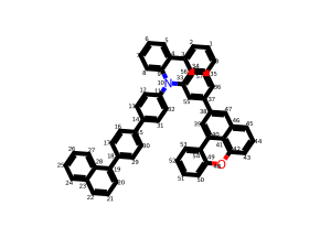 c1ccc(-c2ccccc2N(c2ccc(-c3ccc(-c4cccc5ccccc45)cc3)cc2)c2cccc(-c3cc4c5c(cccc5c3)Oc3ccccc3-4)c2)cc1